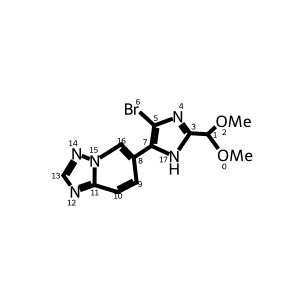 COC(OC)c1nc(Br)c(-c2ccc3ncnn3c2)[nH]1